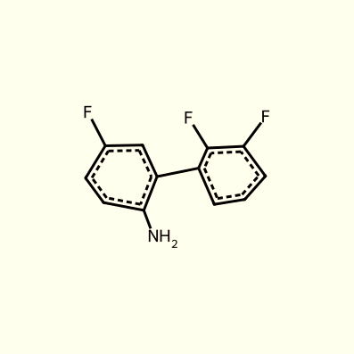 Nc1ccc(F)cc1-c1cccc(F)c1F